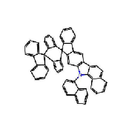 c1ccc2c(c1)-c1ccccc1C21c2ccccc2C2(c3ccccc3-c3cc4c5ccc6ccccc6c5n(-c5cccc6ccccc56)c4cc32)c2ccccc21